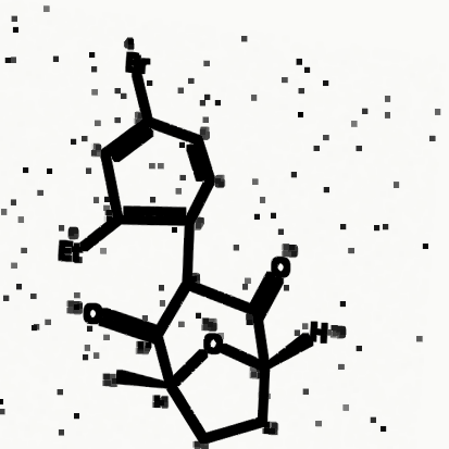 CCc1cc(Br)ccc1C1C(=O)[C@@H]2CC[C@@](C)(O2)C1=O